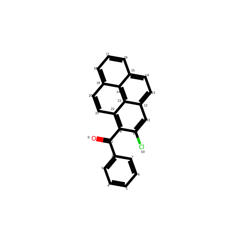 O=C(c1ccccc1)c1c(Cl)cc2ccc3cccc4ccc1c2c34